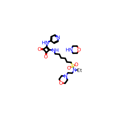 C1COCCN1.CCN(CCN1CCOCC1)S(=O)(=O)CCCCCCNc1c(Nc2ccncc2)c(=O)c1=O